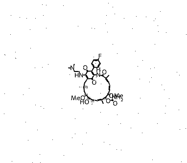 CO[C@H]1C=CC=C(C)C(=O)NC2=C(c3ccc(F)cc3)C(=O)C(NCCN(C)C)=C(C[C@@H](C)C[C@H](OC)[C@H](O)[C@@H](C)C=C(C)[C@@H]1OC(N)=O)C2=O